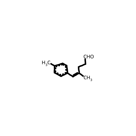 C/C(=C/c1ccc(C)cc1)CCC=O